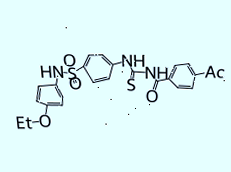 CCOc1ccc(NS(=O)(=O)c2ccc(NC(=S)NC(=O)c3ccc(C(C)=O)cc3)cc2)cc1